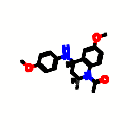 COc1ccc(N[C@H]2C[C@@H](C)N(C(C)=O)c3ccc(OC)cc32)cc1